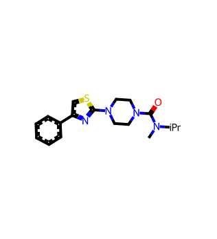 CC(C)N(C)C(=O)N1CCN(c2nc(-c3ccccc3)cs2)CC1